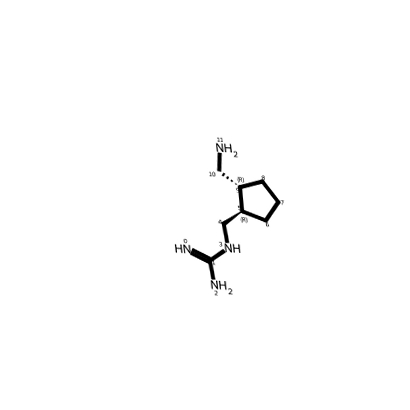 N=C(N)NC[C@@H]1CCC[C@H]1CN